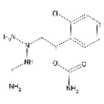 NCNN(N)CC(OC(N)=O)c1ccccc1Cl